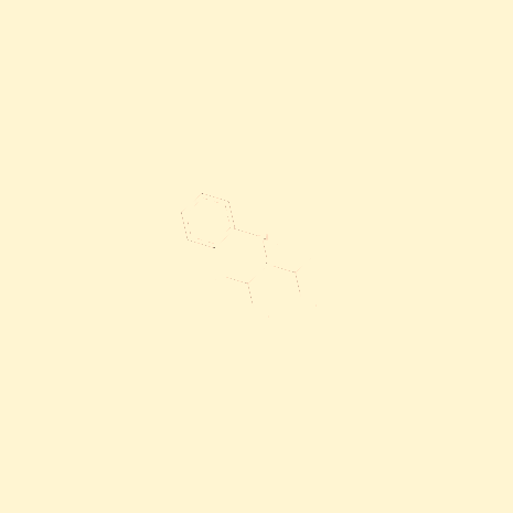 CC(C)N([SiH2]c1ccccc1)C(C)C